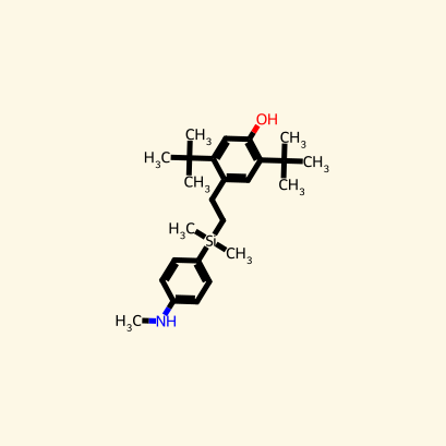 CNc1ccc([Si](C)(C)CCc2cc(C(C)(C)C)c(O)cc2C(C)(C)C)cc1